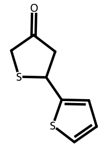 O=C1CSC(c2cccs2)C1